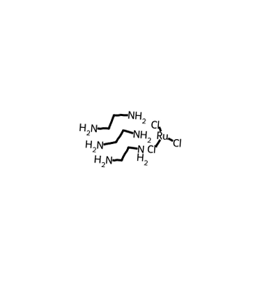 NCCN.NCCN.NCCN.[Cl][Ru]([Cl])[Cl]